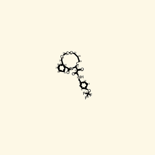 O=C(NCc1ccc(OC(F)(F)F)cc1)C(=O)C1CCCCOCCOCc2ccccc2C(=O)N1